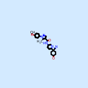 COc1ccc(-n2ncc(C(=O)Nc3ccc(C4(C#N)CCC(=O)CC4)nc3)c2C)cc1